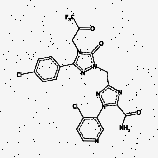 NC(=O)c1nc(Cn2nc(-c3ccc(Cl)cc3)n(CC(=O)C(F)(F)F)c2=O)nn1-c1cnccc1Cl